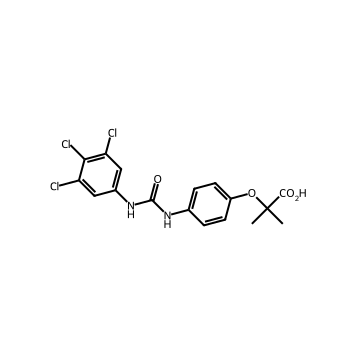 CC(C)(Oc1ccc(NC(=O)Nc2cc(Cl)c(Cl)c(Cl)c2)cc1)C(=O)O